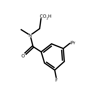 CC(C)c1cc(F)cc(C(=O)N(C)CC(=O)O)c1